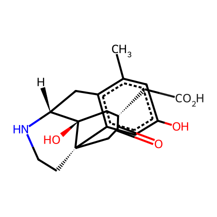 Cc1cc(O)cc2c1C[C@H]1NCC[C@@]23CC(=O)[C@@H](CC(=O)O)C[C@@]13O